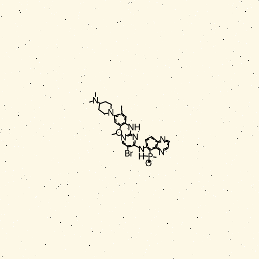 COc1cc(N2CCC(N(C)C)CC2)c(C)cc1Nc1ncc(Br)c(Nc2ccc3nccnc3c2P(C)(C)=O)n1